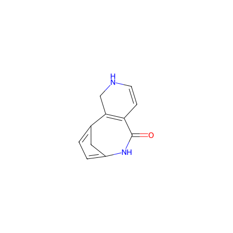 O=C1NC2=CC=C(C2)C2=C1C=CNC2